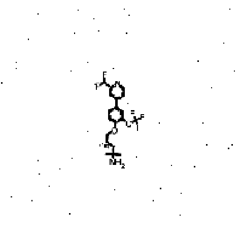 C[C@H](COc1ccc(-c2ccnc(C(F)F)c2)cc1OC(F)(F)F)CC(C)(C)N